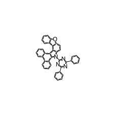 c1ccc(-c2nc(-c3ccccc3)nc(-n3c4ccc5oc6ccccc6c5c4c4c5ccccc5c5ccccc5c43)n2)cc1